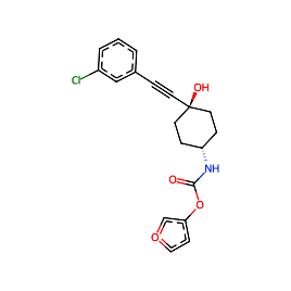 O=C(N[C@H]1CC[C@@](O)(C#Cc2cccc(Cl)c2)CC1)Oc1ccoc1